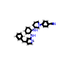 N#Cc1ccc(N2CCC[C@H](N[C@@H]3CCCC[C@H]3Nc3cc(Cc4ccccc4)ccn3)C2)cc1